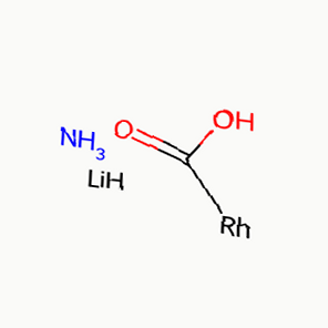 N.O=[C](O)[Rh].[LiH]